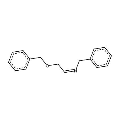 C(/COCc1ccccc1)=N/Cc1ccccc1